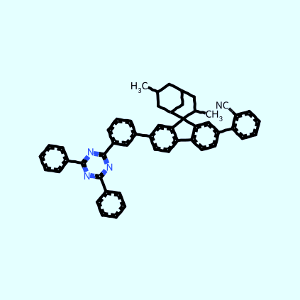 CC1CC2CC(C)C3(c4cc(-c5cccc(-c6nc(-c7ccccc7)nc(-c7ccccc7)n6)c5)ccc4-c4ccc(-c5ccccc5C#N)cc43)C(C1)C2